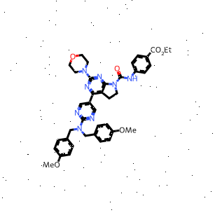 CCOC(=O)c1ccc(NC(=O)N2CCc3c(-c4cnc(N(Cc5ccc(OC)cc5)Cc5ccc(OC)cc5)nc4)nc(N4CCOCC4)nc32)cc1